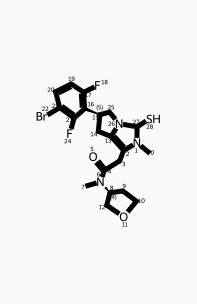 CN1C(CC(=O)N(C)[C@@H]2CCOC2)=C2C[C@@H](c3c(F)ccc(Br)c3F)CN2C1S